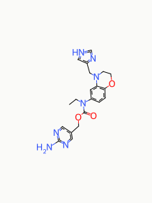 CCN(C(=O)OCc1cnc(N)nc1)c1ccc2c(c1)N(Cc1c[nH]cn1)CCO2